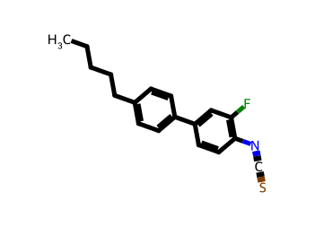 CCCCCc1ccc(-c2ccc(N=C=S)c(F)c2)cc1